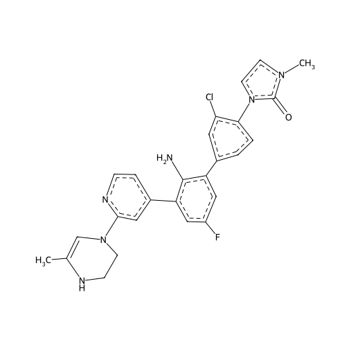 CC1=CN(c2cc(-c3cc(F)cc(-c4ccc(-n5ccn(C)c5=O)c(Cl)c4)c3N)ccn2)CCN1